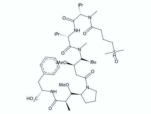 CC[C@H](C)C([C@@H](CC(=O)N1CCC[C@H]1C(OC)[C@@H](C)C(=O)N[C@@H](Cc1ccccc1)C(=O)O)OC)N(C)C(=O)[C@@H](NC(=O)[C@H](C(C)C)N(C)C(=O)CCC[SH](C)(C)=O)C(C)C